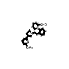 COc1cccc(C2CCN(CCc3ccccc3N3CCCCC3C=O)C2)n1